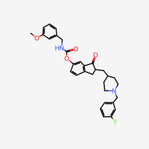 COc1cccc(CNC(=O)Oc2ccc3c(c2)C(=O)C(CC2CCN(Cc4cccc(F)c4)CC2)C3)c1